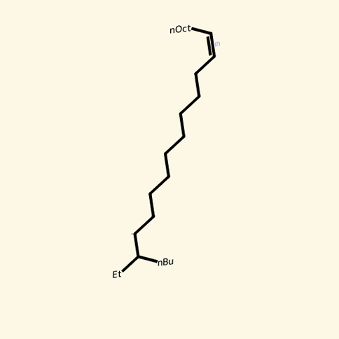 CCCCCCCC/C=C\CCCCCCCC[CH]C(CC)CCCC